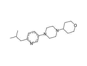 CC(C)Cc1ccc(N2CCN(C3CCOCC3)CC2)cn1